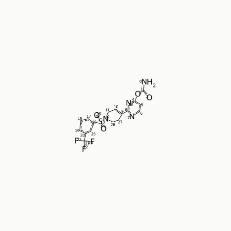 NC(=O)Oc1ccnc(C2=CCN(S(=O)(=O)c3cccc(C(F)(F)F)c3)CC2)n1